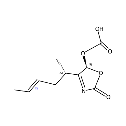 C/C=C/C[C@H](C)C1=NC(=O)O[C@@H]1OC(=O)O